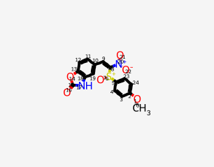 COc1ccc([S+]([O-])C(=Cc2ccc3oc(=O)[nH]c3c2)[N+](=O)[O-])cc1